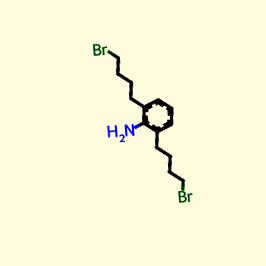 Nc1c(CCCCBr)cccc1CCCCBr